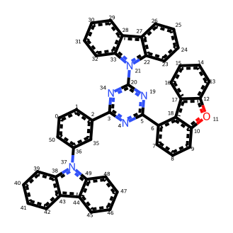 c1cc(-c2nc(-c3cccc4oc5ccccc5c34)nc(-n3c4ccccc4c4ccccc43)n2)cc(-n2c3ccccc3c3ccccc32)c1